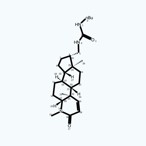 CCCCNC(=O)NC[C@H]1CC[C@H]2[C@@H]3CC[C@H]4N(C)C(=O)C=C[C@]4(C)[C@H]3CC[C@]12C